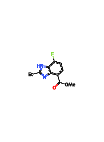 CCc1nc2c(C(=O)OC)ccc(F)c2[nH]1